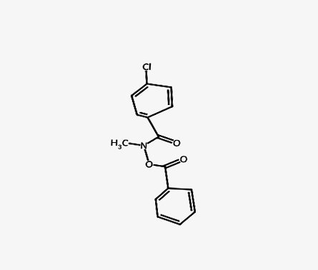 CN(OC(=O)c1ccccc1)C(=O)c1ccc(Cl)cc1